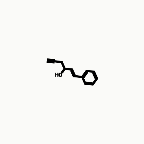 C#CCC(O)C=Cc1ccccc1